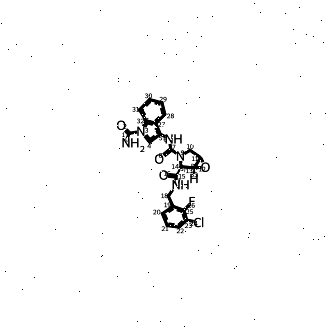 NC(=O)n1cc(NC(=O)N2CC3O[C@@H]3[C@H]2C(=O)NCc2cccc(Cl)c2F)c2ccccc21